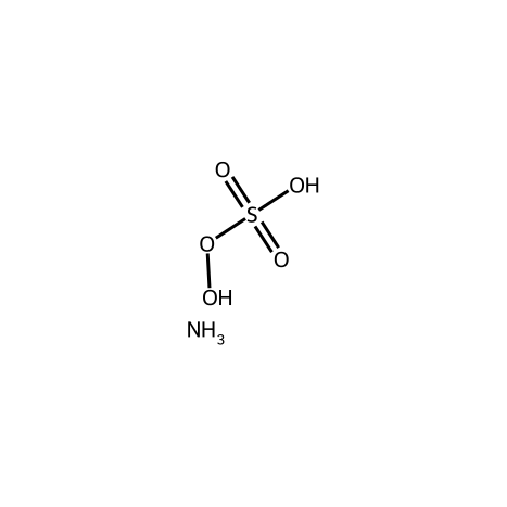 N.O=S(=O)(O)OO